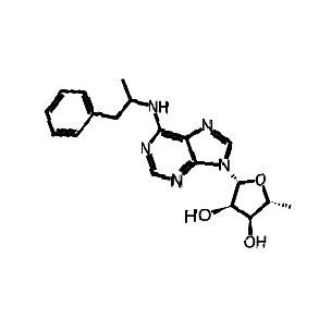 CC(Cc1ccccc1)Nc1ncnc2c1ncn2[C@@H]1O[C@H](C)[C@@H](O)[C@H]1O